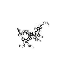 CCCCOc1c(F)c(F)c(-c2cc(C)c(C(=O)NC(CCN)C(=O)N(C)C3C(=O)NC(C)C(=O)NC(C(=O)NCC#N)Cc4ccc(OCCN)c(c4)-c4cc3ccc4OCCN)c(C)n2)c(F)c1F